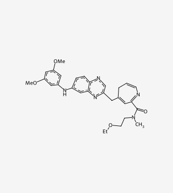 CCOCCN(C)C(=O)C1=NC=CCC(Cc2cnc3ccc(Nc4cc(OC)cc(OC)c4)cc3n2)=C1